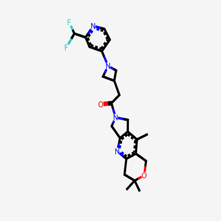 Cc1c2c(nc3c1CN(C(=O)CC1CN(c4ccnc(C(F)F)c4)C1)C3)CC(C)(C)OC2